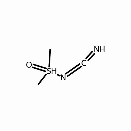 C[SH](C)(=O)N=C=N